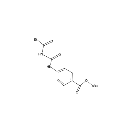 CCCCOC(=O)c1ccc(NC(=S)NC(=O)CC)cc1